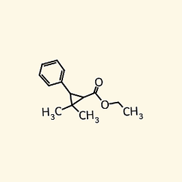 CCOC(=O)C1C(c2ccccc2)C1(C)C